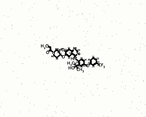 C=CC(=O)N1CCC(Oc2cc3c(Nc4ccc(Oc5cccc(C(F)(F)F)c5)cc4C(C)(C)O)ncnc3cc2OC)CC1